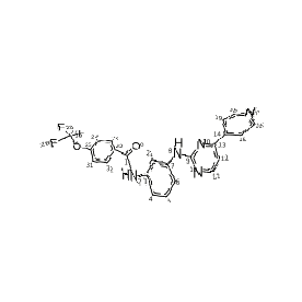 O=C(Nc1cccc(Nc2nccc(-c3ccncc3)n2)c1)c1ccc(OC(F)(F)F)cc1